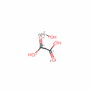 CCCO.O=C(O)C(=O)O